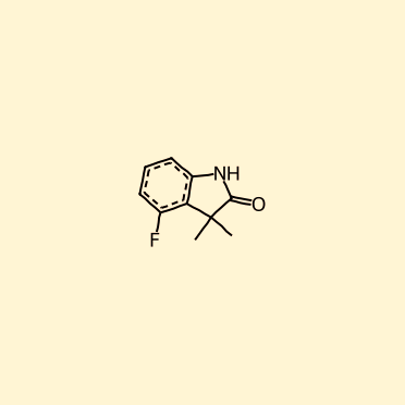 CC1(C)C(=O)Nc2cccc(F)c21